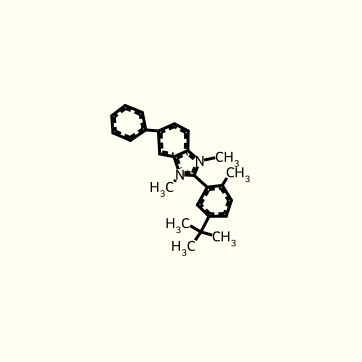 Cc1ccc(C(C)(C)C)cc1-c1n(C)c2ccc(-c3ccccc3)cc2[n+]1C